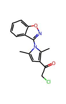 Cc1cc(C(=O)CCl)c(C)n1-c1noc2ccccc12